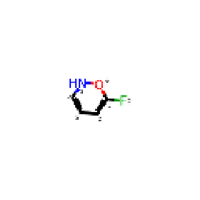 FC1=CC=CNO1